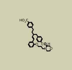 O=C(O)c1ccc(CCC(C=Cc2ccccc2OCCCN2CCOCC2=O)Cc2ccc(C(=O)O)cc2)cc1